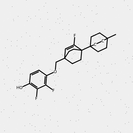 CC12CCC(C34CCC(COc5ccc(O)c(F)c5F)(C=C3F)CC4)(CC1)CC2